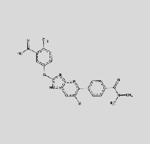 Cc1ccc(Oc2nc3nc(-c4ccc(C(=O)N(C)C)cc4)c(Cl)cc3[nH]2)cc1C(=O)O